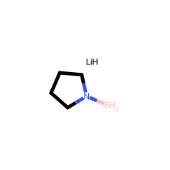 BN1CCCC1.[LiH]